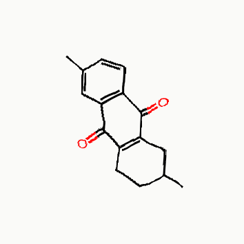 Cc1ccc2c(c1)C(=O)C1=C(CC(C)CC1)C2=O